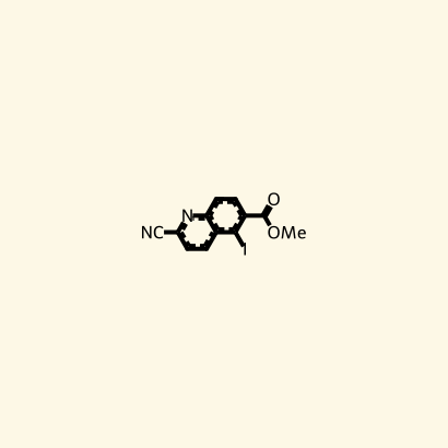 COC(=O)c1ccc2nc(C#N)ccc2c1I